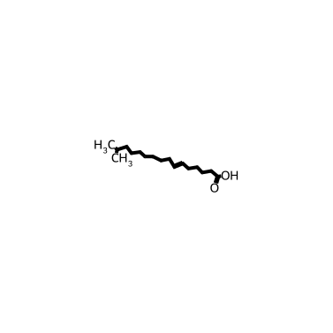 CC(C)CCCCCCCC=CCCCCC(=O)O